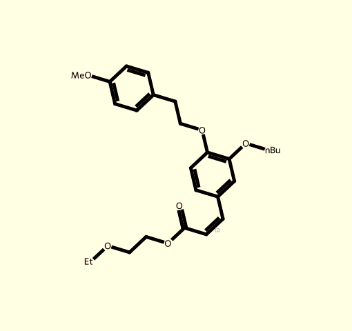 CCCCOc1cc(/C=C\C(=O)OCCOCC)ccc1OCCc1ccc(OC)cc1